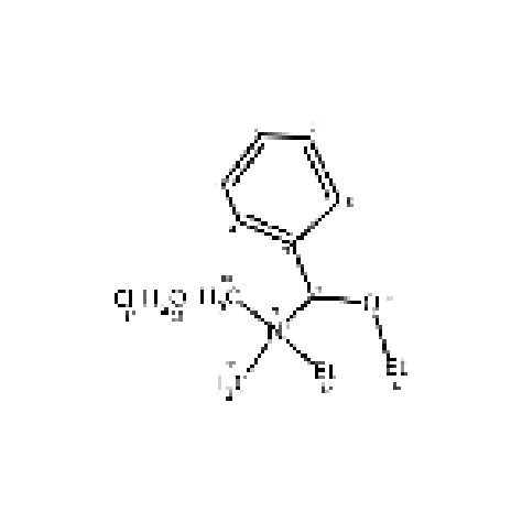 CCOC(c1ccccc1)[N+](C)(C)CC.O.[Cl-]